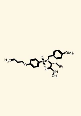 C=CCCOc1ccc(S(=O)(=O)N(Cc2ccc(OC)cc2)[C@H](CC(C)C)C(=O)NO)cc1